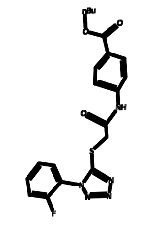 CCCCOC(=O)c1ccc(NC(=O)CSc2nnnn2-c2ccccc2F)cc1